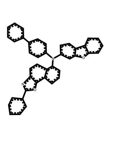 c1ccc(-c2ccc(N(c3ccc4c(c3)oc3ccccc34)c3cccc4c3ccc3nc(-c5ccccc5)oc34)cc2)cc1